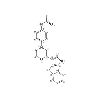 CC(=O)Nc1ccc(N2CCOC(c3n[nH]c4c3Cc3ccccc3-4)C2)cc1